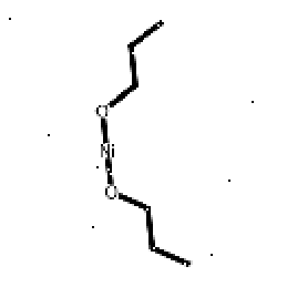 CCC[O][Ni][O]CCC